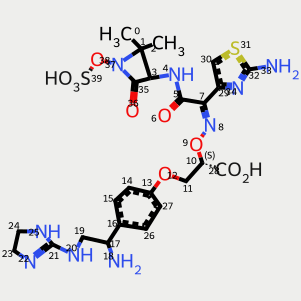 CC1(C)C(NC(=O)C(=NO[C@@H](COc2ccc(C(N)CNC3=NCCN3)cc2)C(=O)O)c2csc(N)n2)C(=O)N1OS(=O)(=O)O